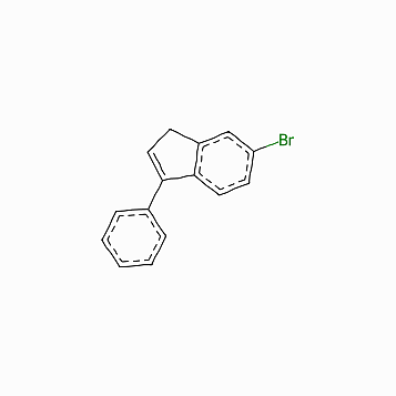 Brc1ccc2c(c1)CC=C2c1ccccc1